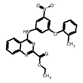 CCOC(=O)c1nc(Nc2cc(Oc3ccccc3C)cc([N+](=O)[O-])c2)c2ccccc2n1